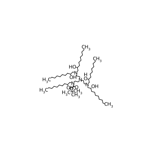 CCCCCCCCC(O)CN(CCN(CCN(CC(O)CCCCCCCC)CC(O)CCCCCCCC)CCN(CC(O)CCCCCCCC)C(=O)OC(C)(C)C)CC(O)CCCCCCCC